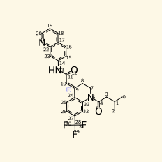 CC(C)CC(=O)N1CC/C(=C\C(=O)Nc2ccc3cccnc3c2)c2ccc(C(F)(F)F)cc21